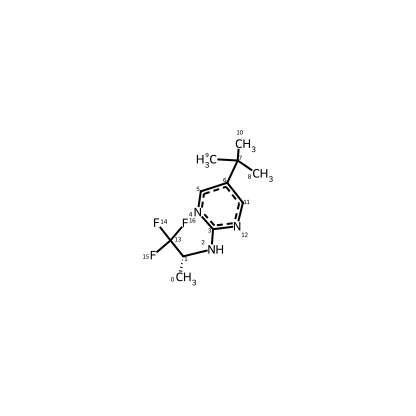 C[C@@H](Nc1ncc(C(C)(C)C)cn1)C(F)(F)F